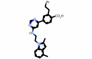 Cc1cccc2c1cc(C)n2CCNc1cc(-c2ccc(C(=O)O)c(CCC(C)C)c2)ncn1